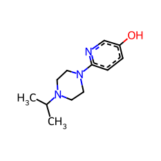 CC(C)N1CCN(c2ccc(O)cn2)CC1